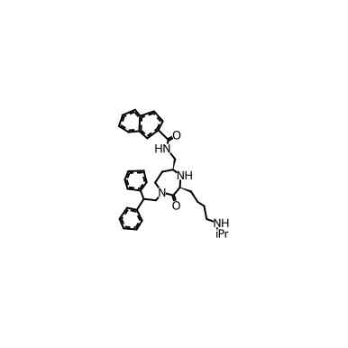 CC(C)NCCCC[C@@H]1N[C@H](CNC(=O)c2ccc3ccccc3c2)CCN(CC(c2ccccc2)c2ccccc2)C1=O